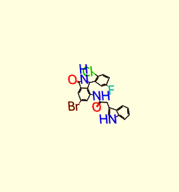 O=C(Cc1c[nH]c2ccccc12)Nc1cc(Br)cc2c1C(c1cc(F)ccc1Cl)NC2=O